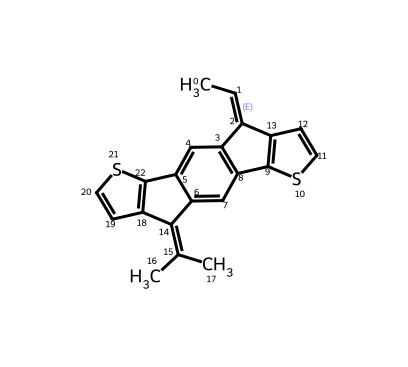 C/C=C1\c2cc3c(cc2-c2sccc21)C(=C(C)C)c1ccsc1-3